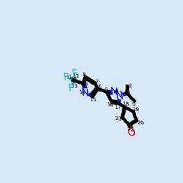 CC(C)n1nc(-c2ccc(C(F)(F)F)nc2)cc1C1CCC(=O)C1